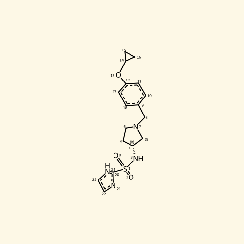 O=S(=O)(N[C@@H]1CCN(Cc2ccc(OC3CC3)cc2)C1)c1ncc[nH]1